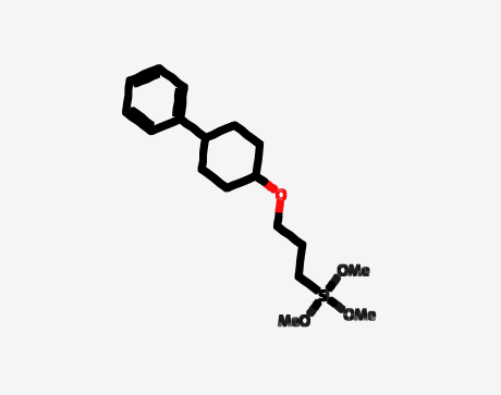 CO[Si](CCCOC1CCC(c2ccccc2)CC1)(OC)OC